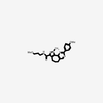 COCCCNC(=O)c1nn(C)c2c1CCCc1cnc(-c3ccc(OC)cc3)nc1-2